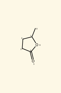 CC1C[CH]C(=O)O1